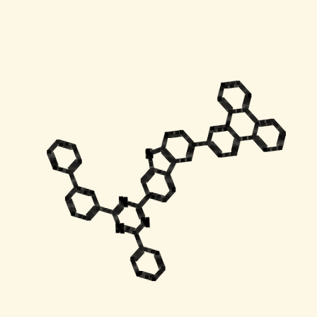 c1ccc(-c2cccc(-c3nc(-c4ccccc4)nc(-c4ccc5c(c4)sc4ccc(-c6ccc7c8ccccc8c8ccccc8c7c6)cc45)n3)c2)cc1